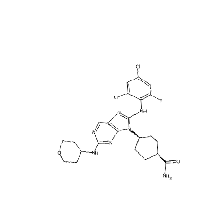 NC(=O)[C@H]1CC[C@@H](n2c(Nc3c(F)cc(Cl)cc3Cl)nc3cnc(NC4CCOCC4)nc32)CC1